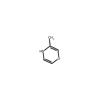 CC1=COC=CB1